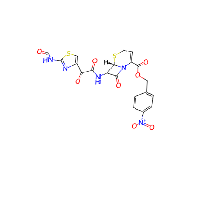 O=CNc1nc(C(=O)C(=O)NC2C(=O)N3C(C(=O)OCc4ccc([N+](=O)[O-])cc4)=CCS[C@@H]23)cs1